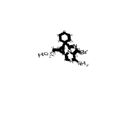 Nc1nccn2c(C3(C4CC4CC(=O)O)CCCCC3)nc(Br)c12